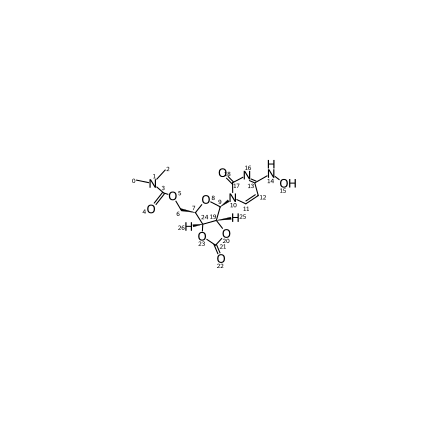 CN(C)C(=O)OC[C@H]1O[C@@H](n2ccc(NO)nc2=O)[C@@H]2OC(=O)O[C@@H]21